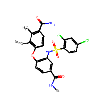 CCNC(=O)c1ccc(Oc2ccc(C(N)=O)c(C)c2OC)c(NS(=O)(=O)c2ccc(Cl)cc2Cl)c1